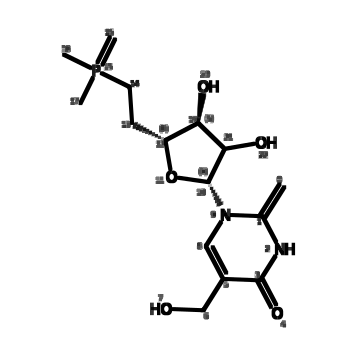 C=C1NC(=O)C(CO)=CN1[C@@H]1O[C@H](CCP(=C)(C)C)[C@@H](O)C1O